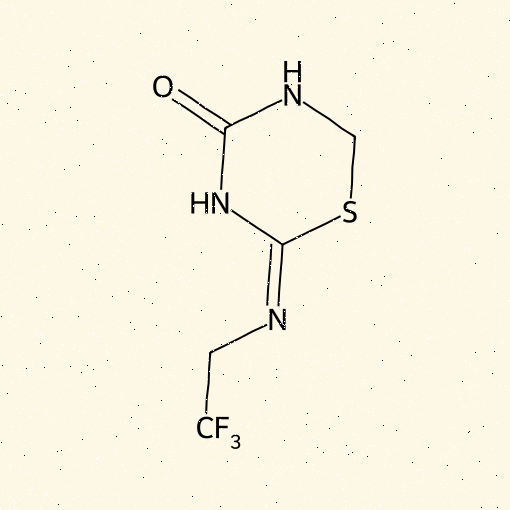 O=C1NCS/C(=N/CC(F)(F)F)N1